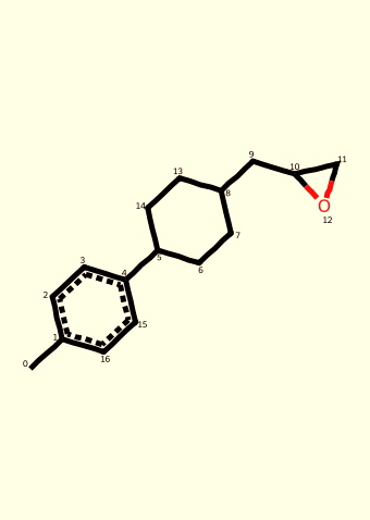 Cc1ccc(C2CCC(CC3CO3)CC2)cc1